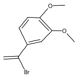 C=C(Br)c1ccc(OC)c(OC)c1